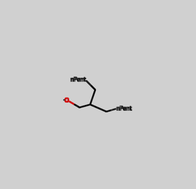 CCCCCCC(C[O])CCCCCC